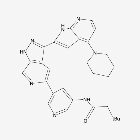 CC(C)(C)CC(=O)Nc1cncc(-c2cc3c(-c4cc5c(N6CCCCC6)ccnc5[nH]4)n[nH]c3cn2)c1